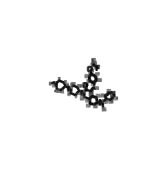 CN1CCC(N2CCC(N(Cc3ccc(N(C)c4ccncc4)cc3)C(=O)C=Cc3ccc(OC(F)F)cc3)CC2)CC1